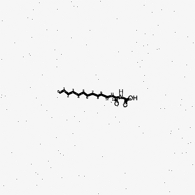 CCCCCCCCCCCCC(=O)NC(=O)O